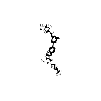 Cc1sc(C)c(C(=O)NC2CC3(C2)CC(C(=O)O)C3)c1Cc1ccc(-c2cc(F)cc(CNC(=O)OC(C)(C)C)c2)cc1